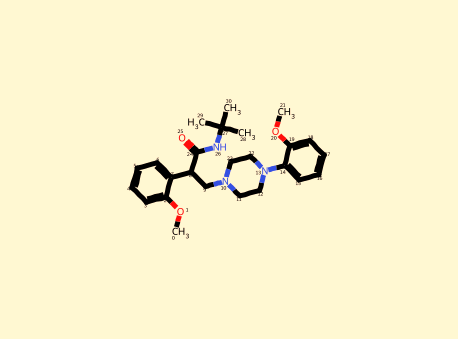 COc1ccccc1C(CN1CCN(c2ccccc2OC)CC1)C(=O)NC(C)(C)C